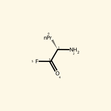 CCC[C@H](N)C(=O)F